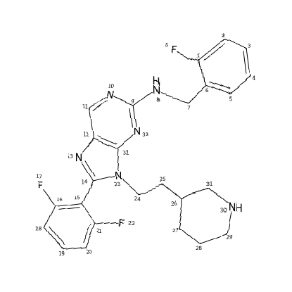 Fc1ccccc1CNc1ncc2nc(-c3c(F)cccc3F)n(CCC3CCCNC3)c2n1